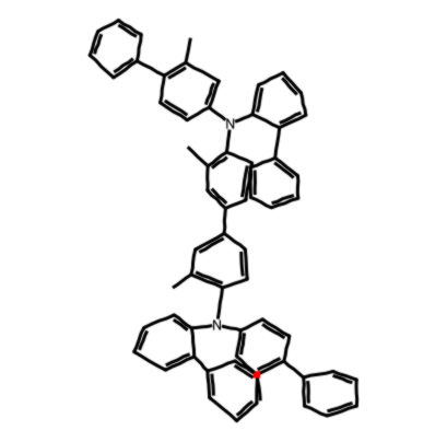 Cc1cc(N(c2ccc(-c3ccc(N(c4ccc(-c5ccccc5)c(C)c4)c4ccccc4-c4ccccc4)c(C)c3)cc2C)c2ccccc2-c2ccccc2)ccc1-c1ccccc1